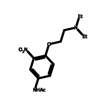 CCN(CC)CCOc1ccc(NC(C)=O)cc1[N+](=O)[O-]